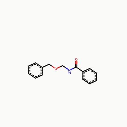 O=C(NCOCc1ccccc1)c1ccccc1